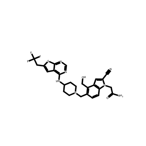 N#Cc1cc2c(CO)c(CN3CCC(Nc4ncnc5sc(CC(F)(F)F)cc45)CC3)ccc2n1CC(N)=O